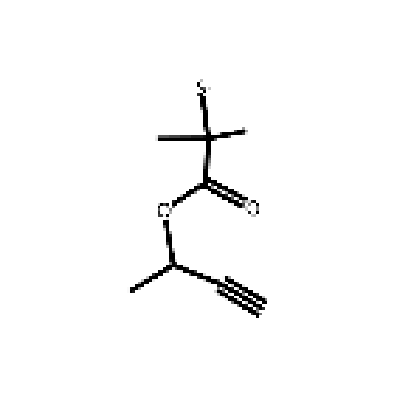 C#CC(C)OC(=O)C(C)(C)[S]